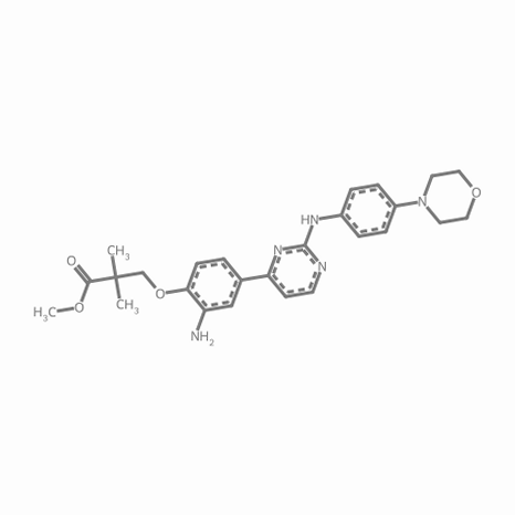 COC(=O)C(C)(C)COc1ccc(-c2ccnc(Nc3ccc(N4CCOCC4)cc3)n2)cc1N